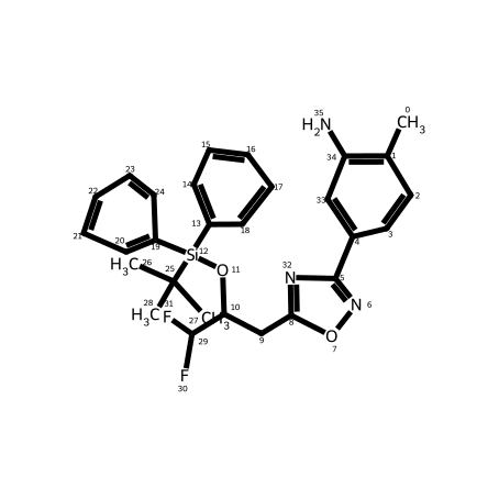 Cc1ccc(-c2noc(CC(O[Si](c3ccccc3)(c3ccccc3)C(C)(C)C)C(F)F)n2)cc1N